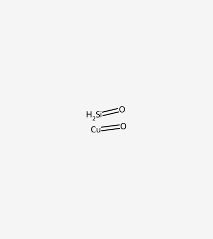 O=[SiH2].[O]=[Cu]